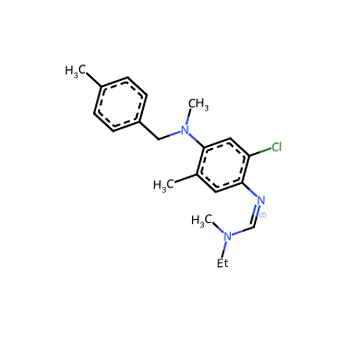 CCN(C)/C=N\c1cc(C)c(N(C)Cc2ccc(C)cc2)cc1Cl